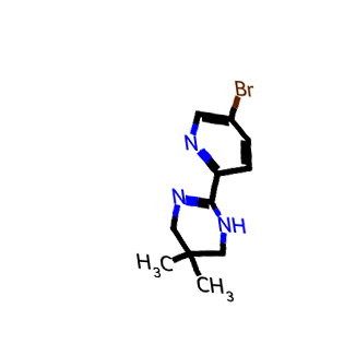 CC1(C)CN=C(c2ccc(Br)cn2)NC1